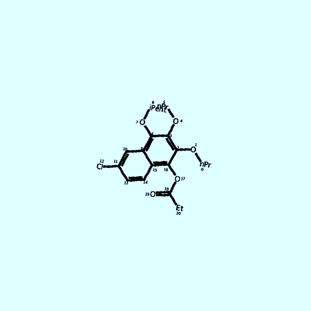 CCCOc1c(OCCC)c(OC(C)CCC)c2cc(Cl)ccc2c1OC(=O)CC